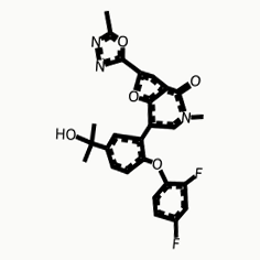 Cc1nnc(-c2cc3c(=O)n(C)cc(-c4cc(C(C)(C)O)ccc4Oc4ccc(F)cc4F)c3o2)o1